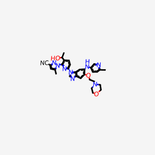 Cc1ccc(Nc2cc3c(cc2OCCN2CCOCC2)ncn3-c2ccc(C(C)O)c(-n3nc(C#N)cc3C)n2)cn1